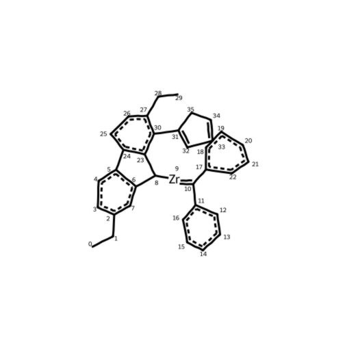 CCc1ccc2c(c1)[CH]([Zr]=[C](c1ccccc1)c1ccccc1)c1c-2ccc(CC)c1C1=CC=CC1